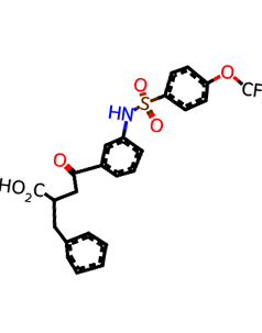 O=C(CC(Cc1ccccc1)C(=O)O)c1cccc(NS(=O)(=O)c2ccc(OC(F)(F)F)cc2)c1